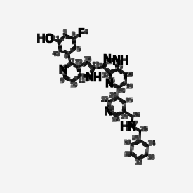 Oc1cc(F)cc(-c2nccc3[nH]c(-c4n[nH]c5ccc(-c6cncc(CNCc7ccccc7)c6)nc45)cc23)c1